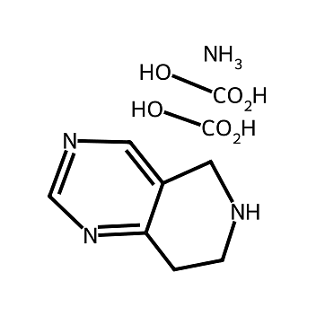 N.O=C(O)O.O=C(O)O.c1ncc2c(n1)CCNC2